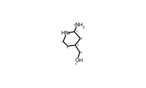 NC1CC(CO)CCN1